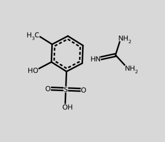 Cc1cccc(S(=O)(=O)O)c1O.N=C(N)N